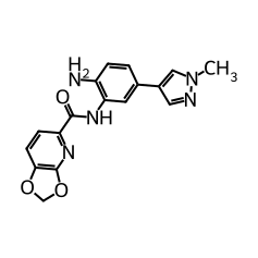 Cn1cc(-c2ccc(N)c(NC(=O)c3ccc4c(n3)OCO4)c2)cn1